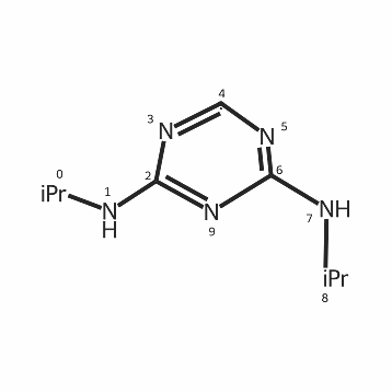 CC(C)Nc1n[c]nc(NC(C)C)n1